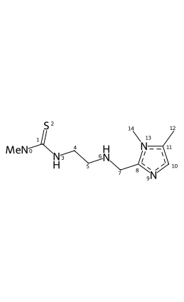 CNC(=S)NCCNCc1ncc(C)n1C